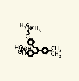 CC(C)c1ccc(/C(=C/Cc2ccc(OCCN(C)C)cc2)Cc2ccc(OP(=O)(O)O)cc2)cc1